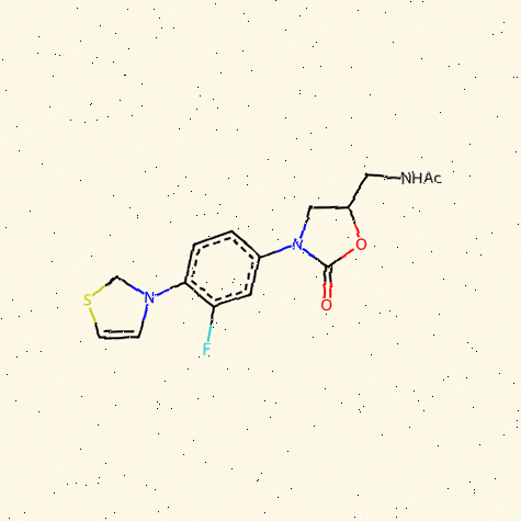 CC(=O)NCC1CN(c2ccc(N3C=CSC3)c(F)c2)C(=O)O1